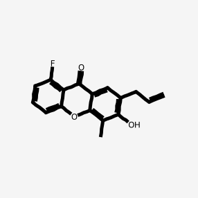 C=CCc1cc2c(=O)c3c(F)cccc3oc2c(C)c1O